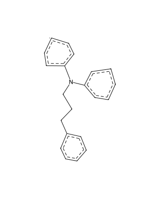 [c]1ccc(N(CCCc2ccccc2)c2ccccc2)cc1